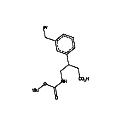 CC(C)Cc1cccc(C(CNC(=O)OC(C)(C)C)CC(=O)O)c1